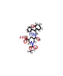 CC(C)(C)OC(=O)N1CC(C(=O)O)CC(C(=O)NCC2c3ccccc3Oc3ccccc32)C1